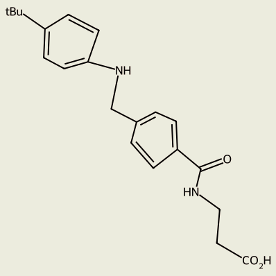 CC(C)(C)c1ccc(NCc2ccc(C(=O)NCCC(=O)O)cc2)cc1